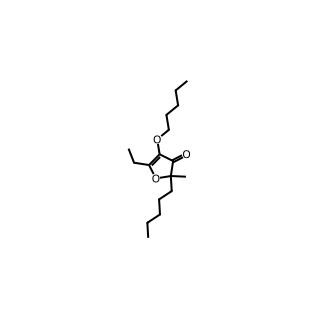 CCCCCOC1=C(CC)OC(C)(CCCCC)C1=O